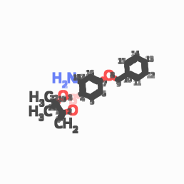 C=C1OB(c2ccc(OCc3ccccc3)cc2N)OC1(C)C